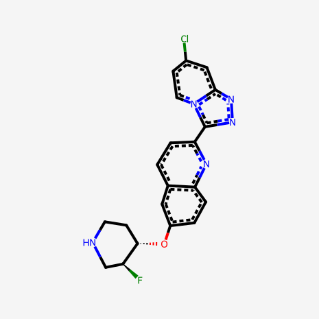 F[C@H]1CNCC[C@@H]1Oc1ccc2nc(-c3nnc4cc(Cl)ccn34)ccc2c1